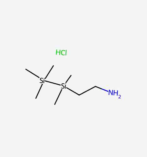 C[Si](C)(C)[Si](C)(C)CCN.Cl